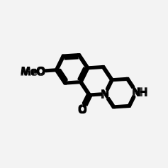 COc1ccc2c(c1)C(=O)N1CCNCC1C2